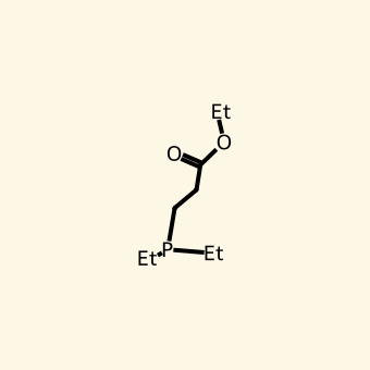 CCOC(=O)CCP(CC)CC